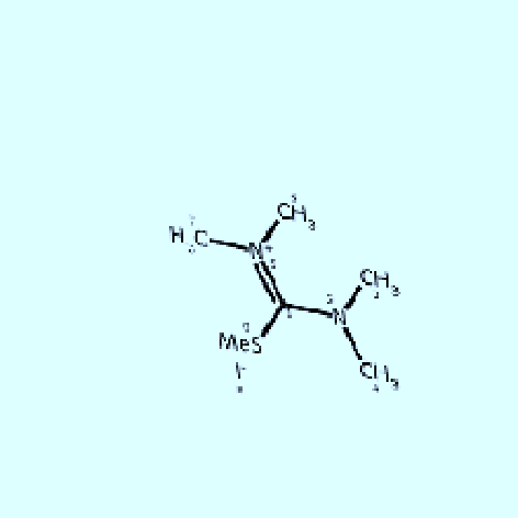 CSC(N(C)C)=[N+](C)C.[I-]